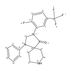 O=C1N(c2cc(C(F)(F)F)ccc2F)CN(c2ccccc2)C12CCNCC2